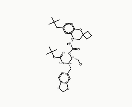 CC(C)(C)Cc1cnc2c(c1)[C@@H](NC(=O)O[C@H](CCl)[C@H](Cc1ccc3c(c1)OCO3)NC(=O)OC(C)(C)C)CC1(CCC1)O2